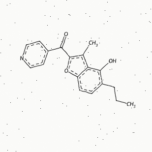 CCCc1ccc2oc(C(=O)c3ccncc3)c(C)c2c1O